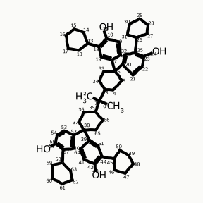 CC(C)(C1CCC(c2ccc(O)c(C3CCCCC3)c2)(c2ccc(O)c(C3CCCCC3)c2)CC1)C1CCC(c2ccc(O)c(C3CCCCC3)c2)(c2ccc(O)c(C3CCCCC3)c2)CC1